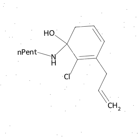 C=CCC1=C(Cl)C(O)(NCCCCC)CC=C1